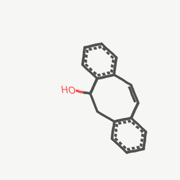 OC1Cc2ccccc2C=Cc2ccccc21